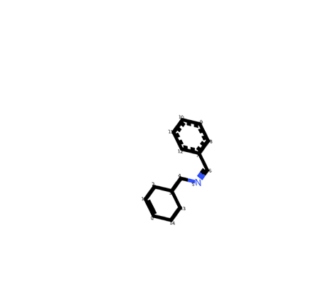 C1=CCC(C/N=C\c2ccccc2)CC1